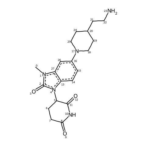 Cn1c(=O)n(C2CCC(=O)NC2=O)c2ccc(N3CCC(CCN)CC3)cc21